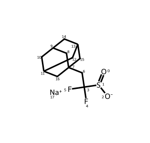 O=S([O-])C(F)(F)CC12CC3CC(CC(C3)C1)C2.[Na+]